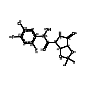 CC1(C)OC2C(=O)NC(C(=O)N(S)c3cc(Cl)c(F)cc3F)C2O1